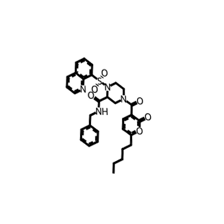 CCCCCc1ccc(C(=O)N2CCN(S(=O)(=O)c3cccc4cccnc34)C(C(=O)NCc3ccccc3)C2)c(=O)o1